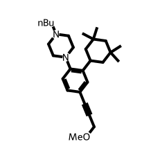 CCCCN1CCN(c2ccc(C#CCOC)cc2C2CC(C)(C)CC(C)(C)C2)CC1